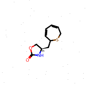 O=C1N[C@H](CC2C=CC=CCS2)CO1